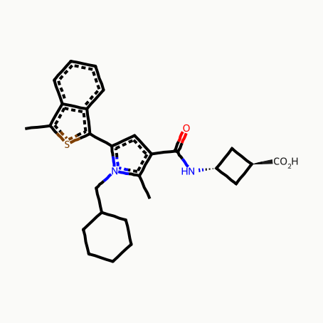 Cc1sc(-c2cc(C(=O)N[C@H]3C[C@H](C(=O)O)C3)c(C)n2CC2CCCCC2)c2ccccc12